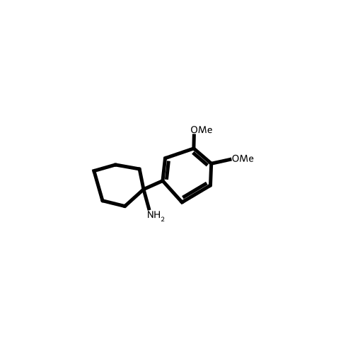 COc1ccc(C2(N)CCCCC2)cc1OC